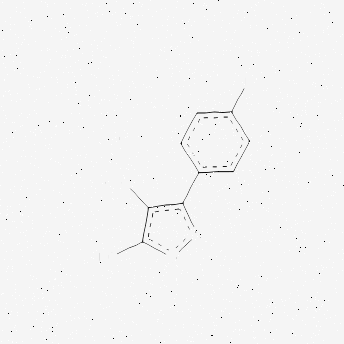 Cc1onc(-c2ccc(F)cc2)c1C(=O)O.Cl